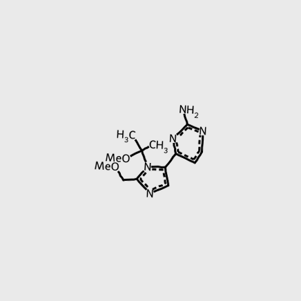 COCc1ncc(-c2ccnc(N)n2)n1C(C)(C)OC